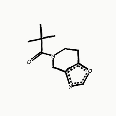 CC(C)(C)C(=O)N1CCc2ocnc2C1